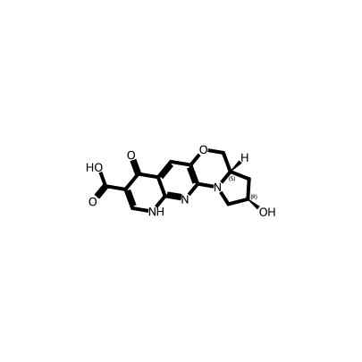 O=C(O)c1c[nH]c2nc3c(cc2c1=O)OC[C@@H]1C[C@@H](O)CN31